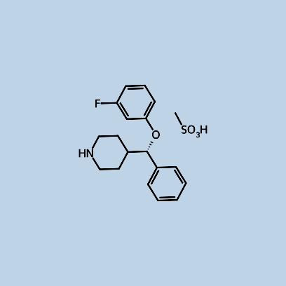 CS(=O)(=O)O.Fc1cccc(O[C@H](c2ccccc2)C2CCNCC2)c1